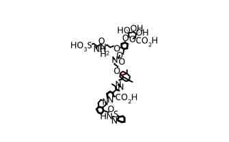 Cc1c(-c2ccc(N3CCc4cccc(C(=O)Nc5nc6ccccc6s5)c4C3)nc2C(=O)O)cnn1CC12CC3(C)CC(C)(C1)CC(OCCN(C)C(=O)OCc1ccc(O[C@@H]4O[C@H](C(=O)O)[C@@H](O)[C@H](O)[C@H]4O)cc1OCCCNC(=O)C(N)CS(=O)(=O)O)(C3)C2